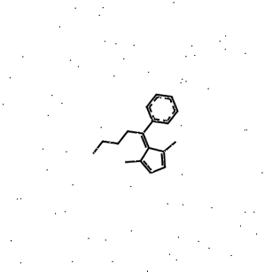 CCCCC(=C1C(C)=CC=C1C)c1ccccc1